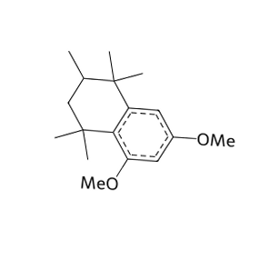 COc1cc(OC)c2c(c1)C(C)(C)C(C)CC2(C)C